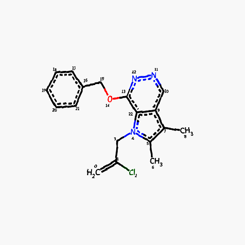 C=C(Cl)Cn1c(C)c(C)c2cnnc(OCc3ccccc3)c21